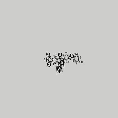 Cc1ccc(Oc2ccc(NC(=O)c3cc4c(cc3C(=O)n3ccnc3)C(=O)N(C)C4=O)cc2)cc1